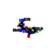 CON=C(C(=O)NC1C(=O)N2CC(Cl)(C(=O)O)CS[C@H]12)c1csc(NC=O)n1